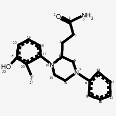 NC(=O)CCC1CN(c2ccccc2)CCN1c1cccc(O)c1F